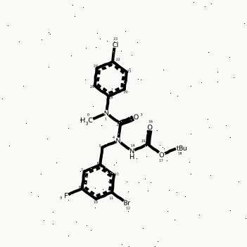 CN(C(=O)N(Cc1cc(F)cc(Br)c1)NC(=O)OC(C)(C)C)c1ccc(Cl)cc1